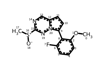 COc1cccc(F)c1-c1ccc2cnc([S+](C)[O-])nn12